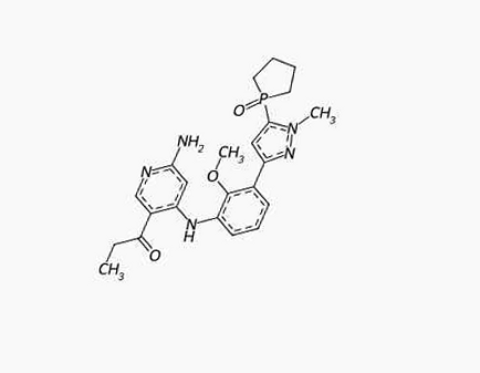 CCC(=O)c1cnc(N)cc1Nc1cccc(-c2cc(P3(=O)CCCC3)n(C)n2)c1OC